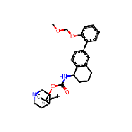 COCOc1ccccc1-c1ccc2c(c1)CCCC2NC(=O)O[C@H]1CN2CCC1CC2